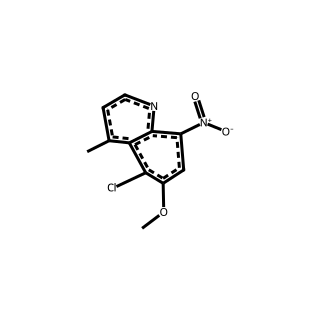 COc1cc([N+](=O)[O-])c2nccc(C)c2c1Cl